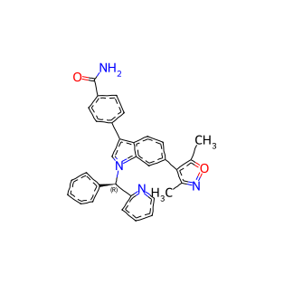 Cc1noc(C)c1-c1ccc2c(-c3ccc(C(N)=O)cc3)cn([C@H](c3ccccc3)c3ccccn3)c2c1